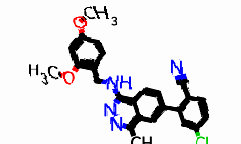 COc1ccc(CNc2nnc(C)c3cc(-c4cc(Cl)ccc4C#N)ccc23)c(OC)c1